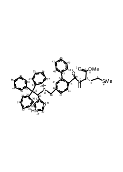 COC(=O)[C@H](CCSC)NC(=O)c1ccc(CNC(c2c[nH]cn2)C(c2ccccc2)(c2ccccc2)c2ccccc2)cc1-c1ccccc1